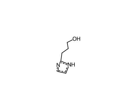 OCCCc1ncc[nH]1